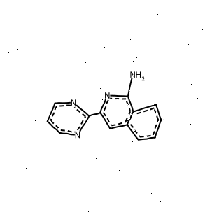 Nc1nc(-c2ncccn2)cc2cc[c]cc12